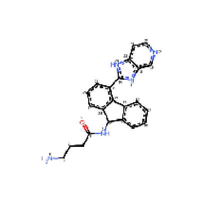 NCCCC(=O)NC1c2ccccc2-c2c(-c3nc4cnccc4[nH]3)cccc21